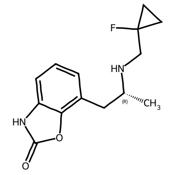 C[C@H](Cc1cccc2[nH]c(=O)oc12)NCC1(F)CC1